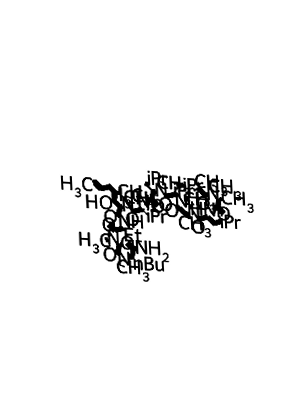 C/C=C/C[C@H](C)[C@H](O)C(C(=O)N[C@H](CC)C(=O)N(C)CC(=O)N(C)[C@@H](CCCC)C(N)=O)N(C)C(=O)[C@@H](C(C)C)N(C)C(=O)[C@@H](CC(C)C)N(C)C(=O)[C@H](CC(C)C)N(C)C(=O)[C@H](C)NC(=O)C(CC(C)C)NC(=O)[C@H](C)N(C)C(=O)[C@H](C)C(C)C